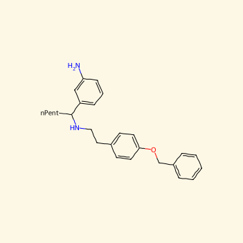 CCCCCC(NCCc1ccc(OCc2ccccc2)cc1)c1cccc(N)c1